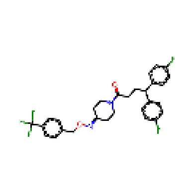 O=C(CCC(c1ccc(F)cc1)c1ccc(F)cc1)N1CCC(=NOCc2ccc(C(F)(F)F)cc2)CC1